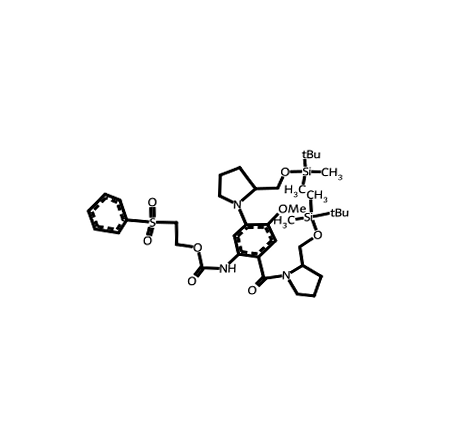 COc1cc(C(=O)N2CCCC2CO[Si](C)(C)C(C)(C)C)c(NC(=O)OCCS(=O)(=O)c2ccccc2)cc1N1CCCC1CO[Si](C)(C)C(C)(C)C